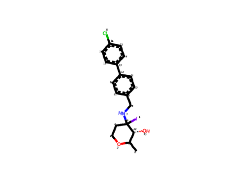 CC1OCCC(I)(NCc2ccc(-c3ccc(Cl)cc3)cc2)[C@@H]1O